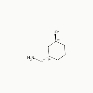 CC(C)[C@H]1CCC[C@H](CN)C1